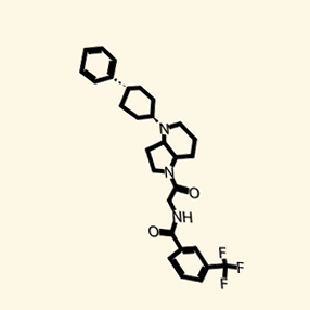 O=C(NCC(=O)N1CCC2C1CCCN2[C@H]1CC[C@@H](c2ccccc2)CC1)c1cccc(C(F)(F)F)c1